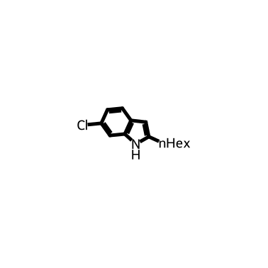 CCCCCCc1cc2ccc(Cl)cc2[nH]1